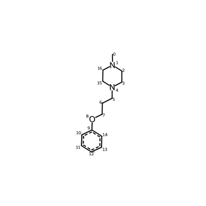 CN1CCN(CCCOc2cc[c]cc2)CC1